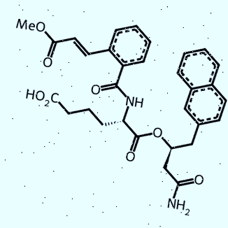 COC(=O)/C=C/c1ccccc1C(=O)N[C@@H](CCCC(=O)O)C(=O)O[C@H](CC(N)=O)Cc1ccc2ccccc2c1